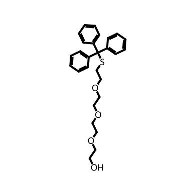 OCCOCCOCCOCCSC(c1ccccc1)(c1ccccc1)c1ccccc1